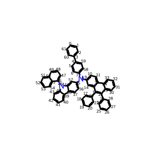 c1ccc(-c2ccc(N(c3ccc4c(c3)c(-c3ccccc3)c(-c3ccccc3)c3ccccc34)c3ccc4c5ccccc5n(-c5cccc6ccccc56)c4c3)cc2)cc1